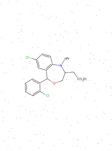 CCCN1c2ccc(Cl)cc2C(c2ccccc2Cl)OCC1CC(=O)OCC